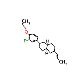 C=CCOc1ccc(C2CC[C@@H]3C[C@H](C=CC)CC[C@@H]3C2)cc1F